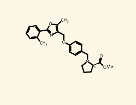 COC(=O)[C@H]1CCCN1Cc1ccc(OCc2nc(-c3ccccc3C)oc2C)cc1